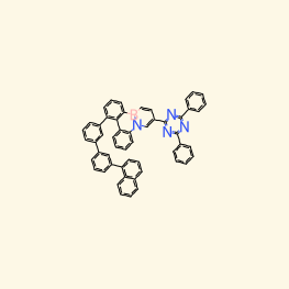 C1=CC(c2nc(-c3ccccc3)nc(-c3ccccc3)n2)=CN2B1c1cccc(-c3cccc(-c4cccc(-c5cccc6ccccc56)c4)c3)c1-c1ccccc12